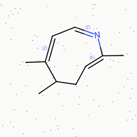 C/C1=C/C=N\C(C)=C\CC1C